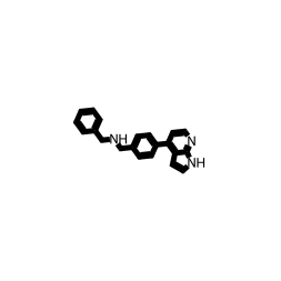 c1ccc(CNCc2ccc(-c3ccnc4[nH]ccc34)cc2)cc1